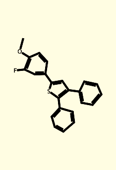 COc1ccc(-c2cc(-c3ccccc3)c(-c3ccccc3)s2)cc1F